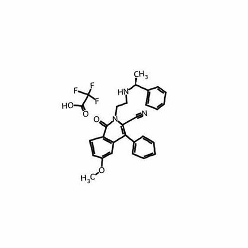 COc1ccc2c(=O)n(CCN[C@@H](C)c3ccccc3)c(C#N)c(-c3ccccc3)c2c1.O=C(O)C(F)(F)F